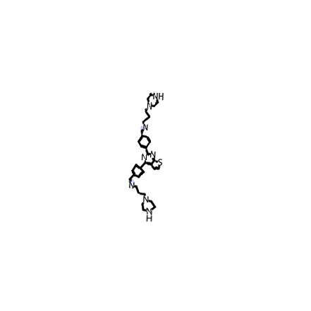 C(=N/CCCN1CCNCC1)/c1ccc(-c2nc(-c3ccc(/C=N/CCCN4CCNCC4)cc3)nc3sccc23)cc1